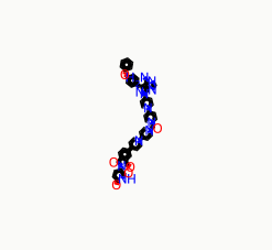 Nc1ncnc2c1c(-c1ccc(Oc3ccccc3)cc1)nn2C1CCN(C2CCN(C(=O)N3CCC(N4CCC(c5ccc6c(c5)C(=O)N(C5CCC(=O)NC5=O)C6=O)CC4)CC3)CC2)CC1